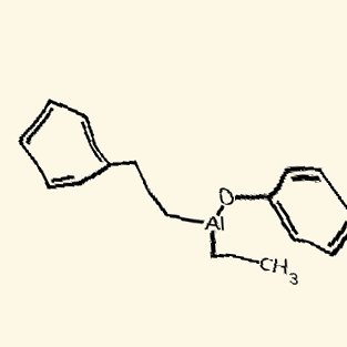 C[CH2][Al]([CH2]Cc1ccccc1)[O]c1ccccc1